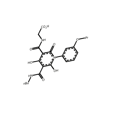 CCCCNC(=O)c1c(O)c(C(=O)NCC(=O)O)c(=O)n(-c2cccc(OC(C)C)c2)c1O